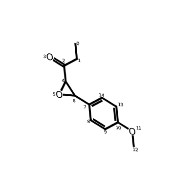 CCC(=O)C1OC1c1ccc(OC)cc1